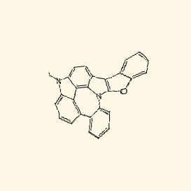 In1c2cccc3c4ccccc4n4c5oc6ccccc6c5c5ccc1c(c32)c54